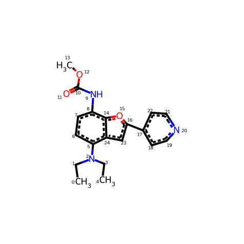 CCN(CC)c1ccc(NC(=O)OC)c2oc(-c3ccncc3)cc12